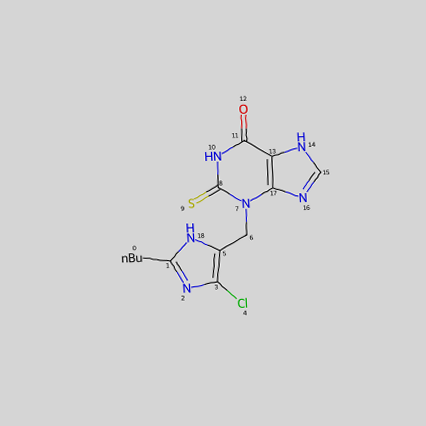 CCCCc1nc(Cl)c(Cn2c(=S)[nH]c(=O)c3[nH]cnc32)[nH]1